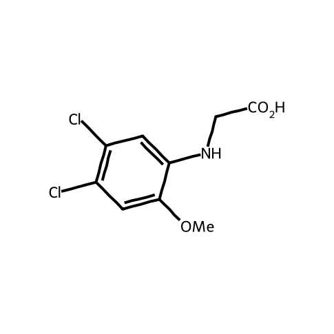 COc1cc(Cl)c(Cl)cc1NCC(=O)O